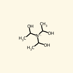 CC(O)[N+](C(C)O)C(C)O